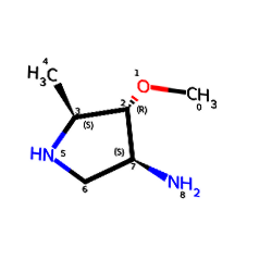 CO[C@H]1[C@H](C)NC[C@@H]1N